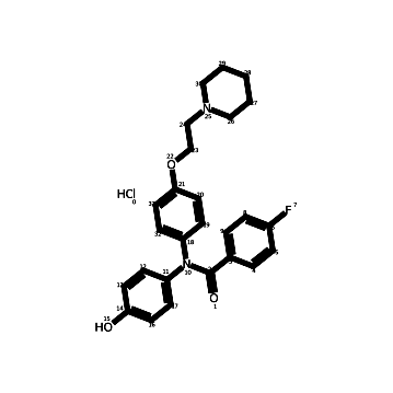 Cl.O=C(c1ccc(F)cc1)N(c1ccc(O)cc1)c1ccc(OCCN2CCCCC2)cc1